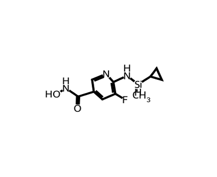 C[Si@H](Nc1ncc(C(=O)NO)cc1F)C1CC1